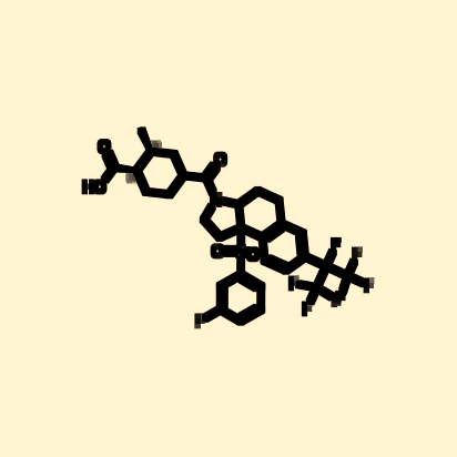 C[C@H]1CC(C(=O)N2CCC3(S(=O)(=O)c4cccc(F)c4)c4ccc(C(F)(C(F)(F)F)C(F)(F)F)cc4CCC23)CC[C@H]1C(=O)O